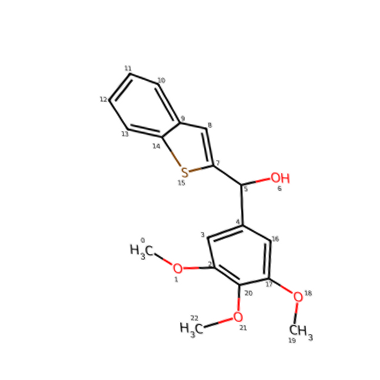 COc1cc(C(O)c2cc3ccccc3s2)cc(OC)c1OC